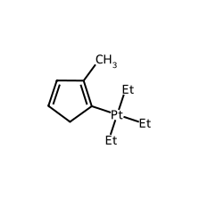 C[CH2][Pt]([CH2]C)([CH2]C)[C]1=C(C)C=CC1